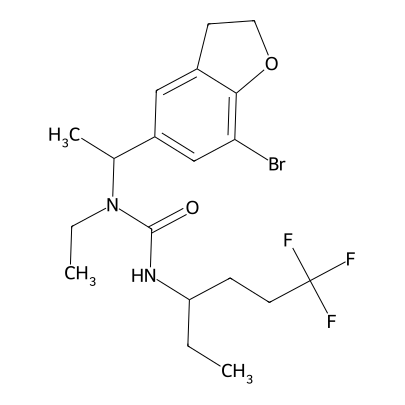 CCC(CCC(F)(F)F)NC(=O)N(CC)C(C)c1cc(Br)c2c(c1)CCO2